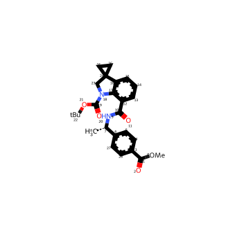 COC(=O)c1ccc([C@H](C)NC(=O)c2cccc3c2N(C(=O)OC(C)(C)C)CC32CC2)cc1